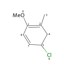 COC1=C(C)CC(Cl)C=C1